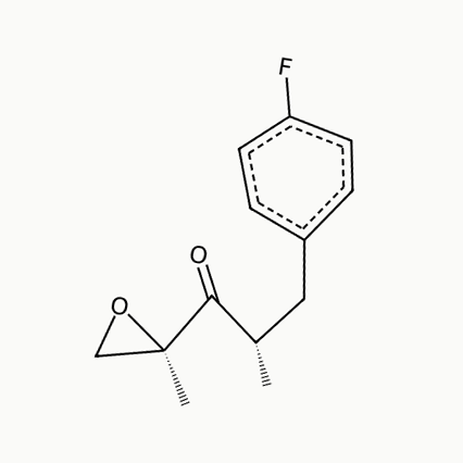 C[C@@H](Cc1ccc(F)cc1)C(=O)[C@@]1(C)CO1